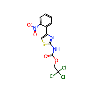 O=C(Nc1nc(-c2ccccc2[N+](=O)[O-])cs1)OCC(Cl)(Cl)Cl